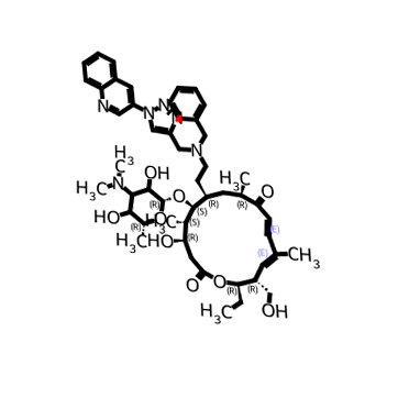 CC[C@H]1OC(=O)C[C@@H](O)[C@H](C)[C@@H](O[C@@H]2O[C@H](C)C(O)C(N(C)C)C2O)[C@@H](CCN(Cc2ccccc2)Cc2cn(-c3cnc4ccccc4c3)nn2)C[C@@H](C)C(=O)/C=C/C(C)=C/[C@@H]1CO